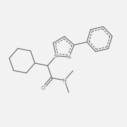 CN(C)C(=O)C(C1CCCCC1)n1ccc(-c2ccccc2)n1